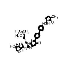 CC1CCN([SH]=Nc2ccc(-c3ccc(-c4nc5c(cc4Cl)nc(O[C@@H]4CO[C@H]6[C@@H]4OC[C@H]6O)n5COCC[Si](C)(C)C)cc3)cc2)C1=O